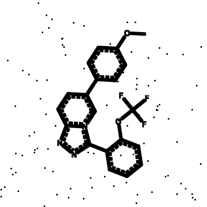 COc1ccc(-c2ccc3nnc(-c4ccccc4OC(F)(F)F)n3c2)cc1